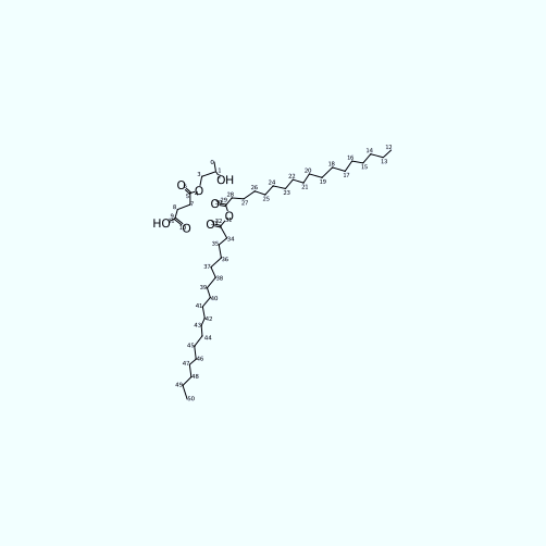 CC(O)COC(=O)CCC(=O)O.CCCCCCCCCCCCCCCCCC(=O)OC(=O)CCCCCCCCCCCCCCCCC